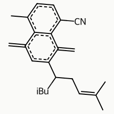 C=c1cc(C(CC=C(C)C)C(C)CC)c(=C)c2c(C#N)ccc(C)c12